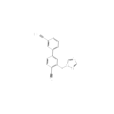 C#Cc1cccc(-c2ccc(C#N)c(Cn3cncn3)c2)c1